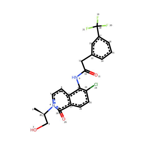 C[C@H](CO)n1ccc2c(NC(=O)Cc3cccc(C(F)(F)F)c3)c(Cl)ccc2c1=O